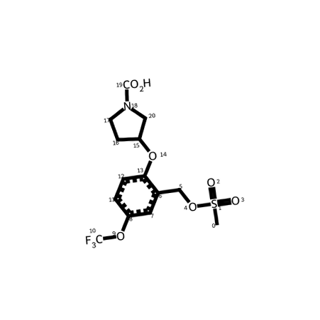 CS(=O)(=O)OCc1cc(OC(F)(F)F)ccc1OC1CCN(C(=O)O)C1